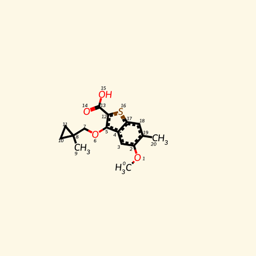 COc1cc2c(OCC3(C)CC3)c(C(=O)O)sc2cc1C